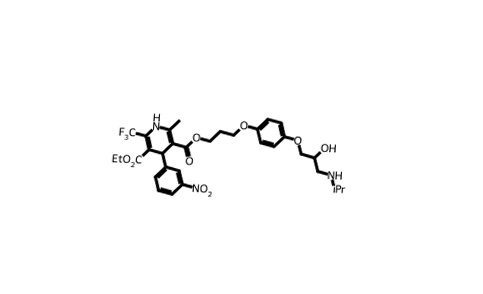 CCOC(=O)C1=C(C(F)(F)F)NC(C)=C(C(=O)OCCCOc2ccc(OCC(O)CNC(C)C)cc2)C1c1cccc([N+](=O)[O-])c1